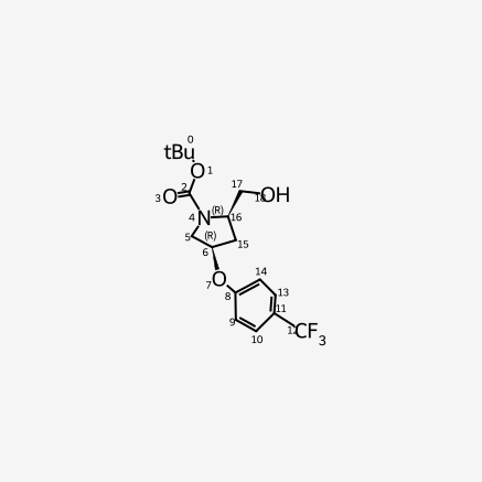 CC(C)(C)OC(=O)N1C[C@H](Oc2ccc(C(F)(F)F)cc2)C[C@@H]1CO